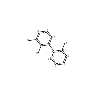 Cc1cccnc1-c1nccc(C)c1C